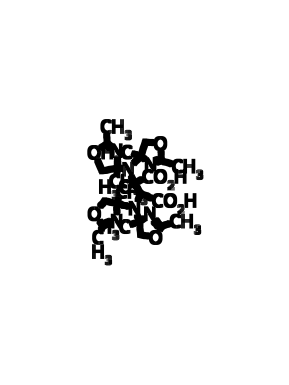 CC1=NC(C)(N(C(C(=O)O)C(C)(C(=O)O)N(C2(C)COC(C)=N2)C2(C)COC(C)=N2)C2(C)COC(C)=N2)CO1